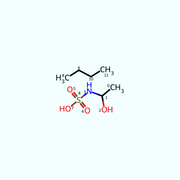 CC(O)NS(=O)(=O)O.CCCC